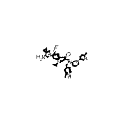 Cc1ccc(N2CCC[C@H](N(Cc3ccnc(C)c3)Cc3cn(C4CC4)c4cc(N5CC(N)C6(CC6)C5)c(F)cc4c3=O)C2)cn1